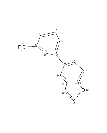 FC(F)(F)c1cccc(-c2ccc3o[c]cc3c2)c1